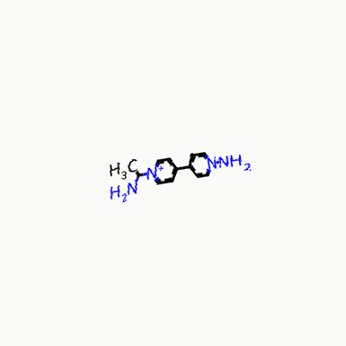 CC(N)[n+]1ccc(-c2cc[n+](N)cc2)cc1